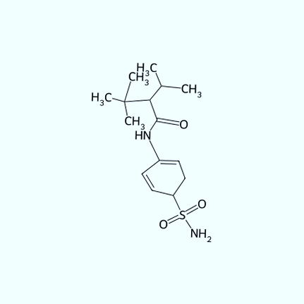 CC(C)C(C(=O)NC1=CCC(S(N)(=O)=O)C=C1)C(C)(C)C